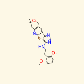 COc1cccc(OC)c1CCNc1ncnc2c1sc1nc3c(cc12)COC(C)(C)C3